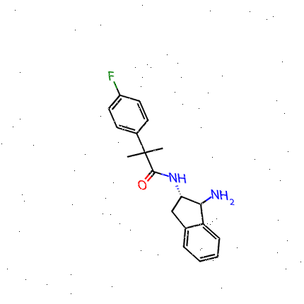 CC(C)(C(=O)N[C@H]1Cc2ccccc2C1N)c1ccc(F)cc1